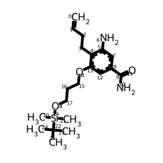 C=CCCc1c(N)cc(C(N)=O)cc1OCCCO[Si](C)(C)C(C)(C)C